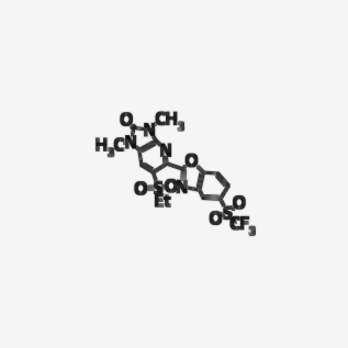 CCS(=O)(=O)c1cc2c(nc1-c1nc3cc(S(=O)(=O)C(F)(F)F)ccc3o1)n(C)c(=O)n2C